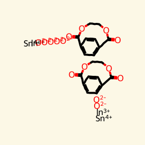 O=C1OCCOC(=O)c2ccc1cc2.O=C1OCCOC(=O)c2ccc1cc2.[In+3].[In+3].[O-2].[O-2].[O-2].[O-2].[O-2].[O-2].[O-2].[Sn+4].[Sn+4]